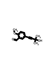 COc1ccc(C#CC(C)(C)O)cc1C=O